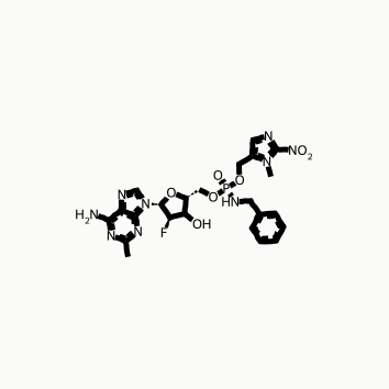 Cc1nc(N)c2ncn([C@@H]3O[C@H](COP(=O)(NCc4ccccc4)OCc4cnc([N+](=O)[O-])n4C)C(O)[C@H]3F)c2n1